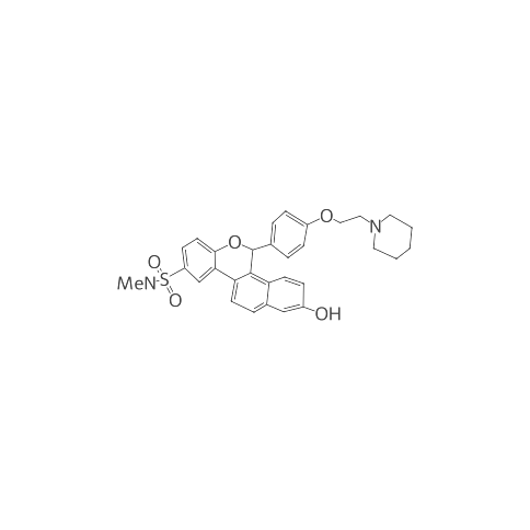 CNS(=O)(=O)c1ccc2c(c1)-c1ccc3cc(O)ccc3c1C(c1ccc(OCCN3CCCCC3)cc1)O2